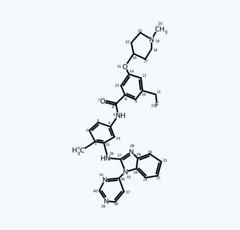 Cc1ccc(NC(=O)c2cc(CF)cc(OC3CCN(C)CC3)c2)cc1Nc1nc2ccccc2n1-c1ccncn1